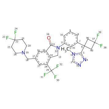 Cn1cnnc1C1(c2cccc(N3Cc4c(cc(CN5CCC(F)(F)CC5)cc4C(F)(F)F)C3=O)c2)CC(F)(F)C1